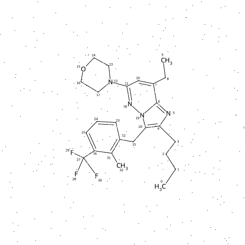 CCCCc1nc2c(CC)cc(N3CCOCC3)nn2c1Cc1cccc(C(F)(F)F)c1C